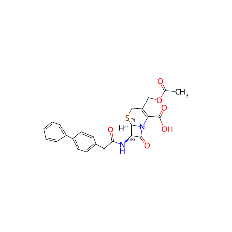 CC(=O)OCC1=C(C(=O)O)N2C(=O)[C@@H](NC(=O)Cc3ccc(-c4ccccc4)cc3)[C@H]2SC1